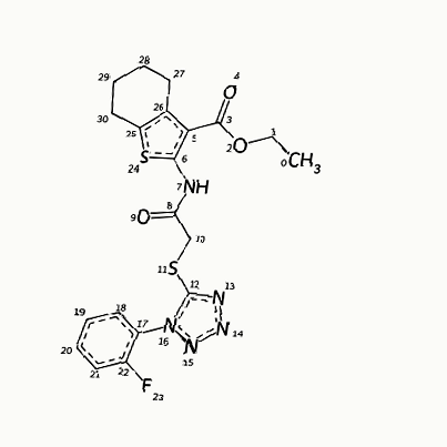 CCOC(=O)c1c(NC(=O)CSc2nnnn2-c2ccccc2F)sc2c1CCCC2